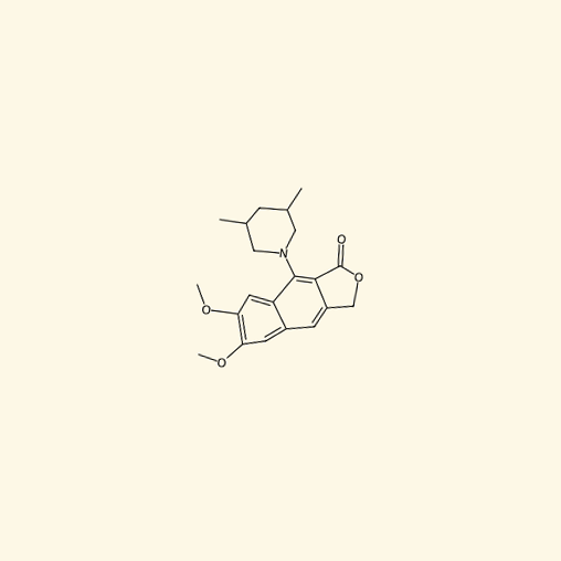 COc1cc2cc3c(c(N4CC(C)CC(C)C4)c2cc1OC)C(=O)OC3